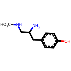 NC(CNC(=O)O)Cc1ccc(O)cc1